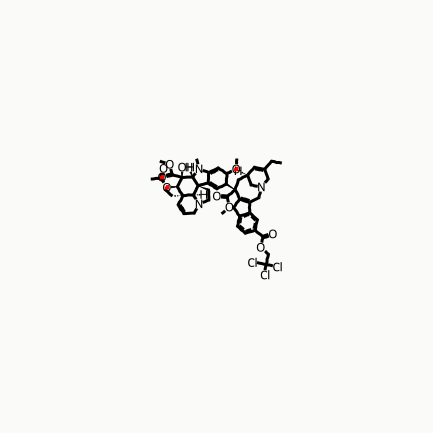 CCC1=C[C@H]2CN(C1)CC1=C(Cc3ccc(C(=O)OCC(Cl)(Cl)Cl)cc31)[C@@](C(=O)OC)(C1C=C3C(=CC1OC)N(C)[C@H]1[C@@](O)(C(=O)OC)[C@H](OC(C)=O)[C@]4(CC)C=CCN5CC[C@]31[C@@H]54)C2